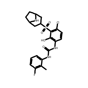 Cc1c(F)cccc1NC(=O)Nc1ccc(Cl)c(S(=O)(=O)C2CC3CCC(C2)N3)c1O